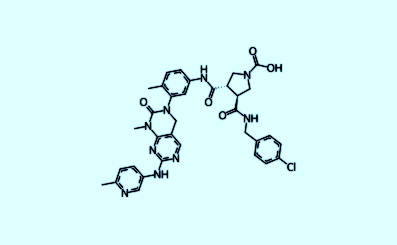 Cc1ccc(Nc2ncc3c(n2)N(C)C(=O)N(c2cc(NC(=O)[C@@H]4CN(C(=O)O)C[C@H]4C(=O)NCc4ccc(Cl)cc4)ccc2C)C3)cn1